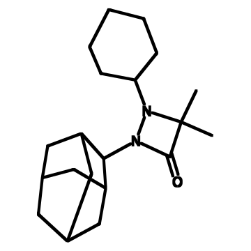 CC1(C)C(=O)N(C2C3CC4CC(C3)CC2C4)N1C1CCCCC1